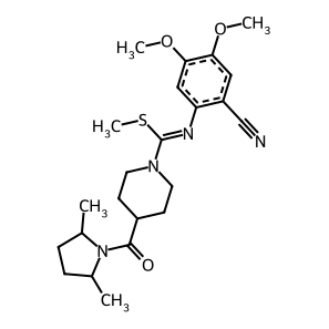 COc1cc(C#N)c(N=C(SC)N2CCC(C(=O)N3C(C)CCC3C)CC2)cc1OC